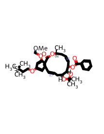 COCOc1cc(OCC[Si](C)(C)C)cc2c1C(=O)O[C@@H](C)C/C=C\C(OC(=O)c1ccccc1)[C@H]1OC(C)(C)O[C@H]1C/C=C/2